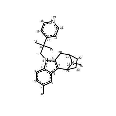 Cc1ccc2c(c1)c1c(n2CC(C)(C)c2ccncc2)CC2CCC1N2C